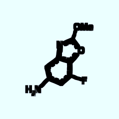 COc1nc2cc(N)cc(F)c2o1